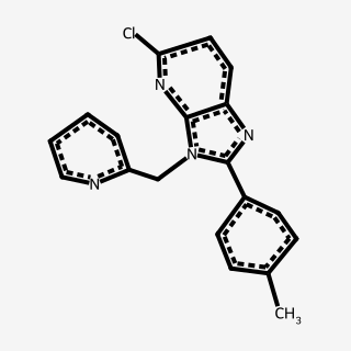 Cc1ccc(-c2nc3ccc(Cl)nc3n2Cc2ccccn2)cc1